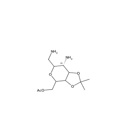 CC(=O)OCC1OC(CN)[C@H](N)C2OC(C)(C)OC12